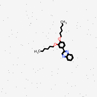 CCCCCCOc1ccc(-c2cnc3ccccc3n2)cc1OCCCCCC